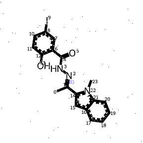 C/C(=N\NC(=O)c1cc(I)ccc1O)c1cc2ccccc2n1C